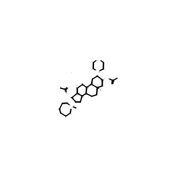 CC(=O)O[C@H]1C[C@@H]2CCC3C4C[C@H]([N+]5(C)CCCCCC5)[C@H](OC(C)=O)[C@@]4(C)CCC3[C@@]2(C)C[C@@H]1N1CCOCC1.[Br-]